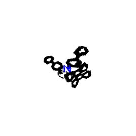 CC1=C(N(c2ccc(-c3ccccc3)cc2)c2cccc3c2-c2ccccc2C32c3ccccc3-c3ccccc32)C=CC(c2ccccc2)=CC1